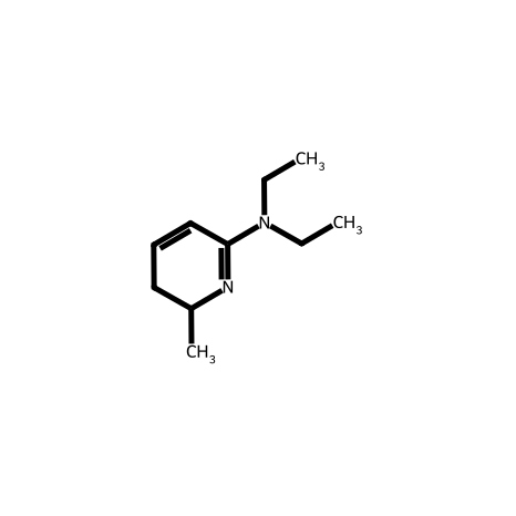 CCN(CC)C1=NC(C)CC=C1